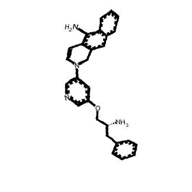 Nc1c2c(cc3ccccc13)CN(c1cncc(OC[C@H](N)Cc3ccccc3)c1)C=C2